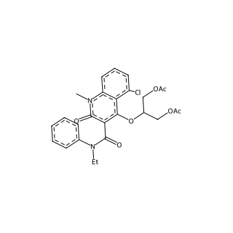 CCN(C(=O)c1c(OC(COC(C)=O)COC(C)=O)c2c(Cl)cccc2n(C)c1=O)c1ccccc1